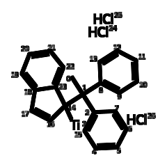 CC(c1ccccc1)(c1ccccc1)[C]1([Ti])C=Cc2ccccc21.Cl.Cl.Cl